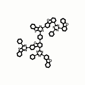 c1ccc(-c2nc(-c3cccc4oc5ccccc5c34)nc(-c3cccc4oc5cc(-c6nc(-c7ccc(-c8ccc(-c9nc(-c%10ccccc%10)nc(-c%10ccc%11oc%12ccccc%12c%11c%10)n9)c9c8oc8cc(-c%10nc(-c%11ccccc%11)c%11sc%12ccccc%12c%11n%10)ccc89)cc7)c7sc8ccccc8c7n6)ccc5c34)n2)cc1